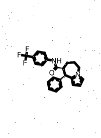 O=C(Nc1ccc(C(F)(F)F)cc1)[C@H]1CCCn2cccc2[C@H]1c1ccccc1